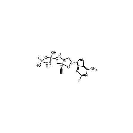 C#C[C@]1(COP(=O)(O)OP(=O)(O)O)O[C@@H](n2cnc3c(N)nc(F)nc32)C[C@@H]1O